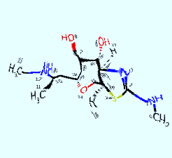 CNC1=N[C@@H]2[C@@H](O)[C@H](O)[C@@H]([C@@H](C)NC)O[C@@H]2S1